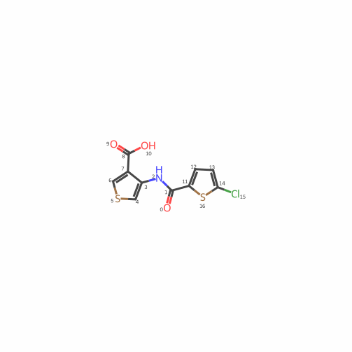 O=C(Nc1cscc1C(=O)O)c1ccc(Cl)s1